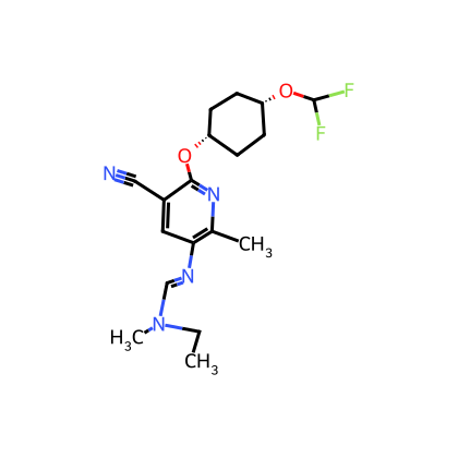 CCN(C)C=Nc1cc(C#N)c(O[C@H]2CC[C@@H](OC(F)F)CC2)nc1C